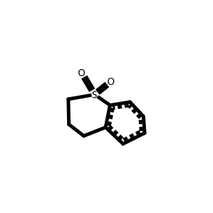 O=S1(=O)CCCc2ccccc21